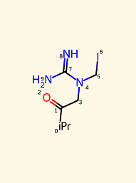 CC(C)C(=O)CN(CI)C(=N)N